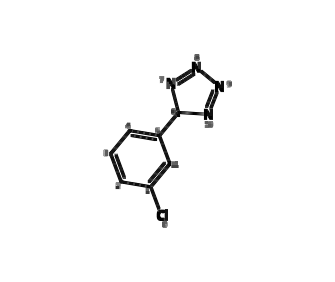 Clc1cccc([C]2N=NN=N2)c1